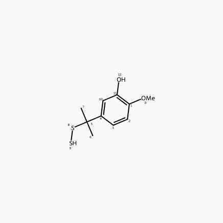 COc1ccc(C(C)(C)SS)cc1O